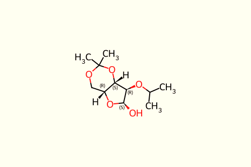 CC(C)O[C@@H]1[C@H]2OC(C)(C)OC[C@H]2O[C@@H]1O